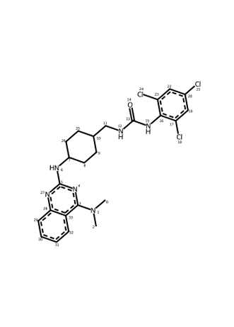 CN(C)c1nc(NC2CCC(CNC(=O)Nc3c(Cl)cc(Cl)cc3Cl)CC2)nc2ccccc12